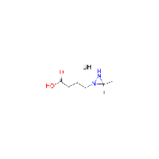 CC1(C)NN1CCCC(=O)O.[LiH]